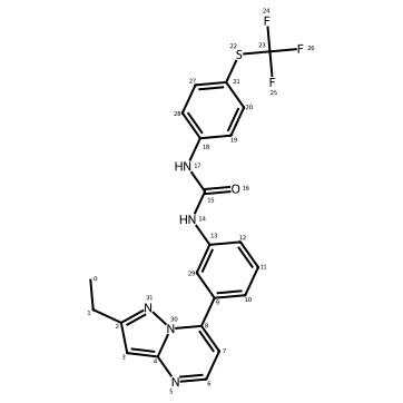 CCc1cc2nccc(-c3cccc(NC(=O)Nc4ccc(SC(F)(F)F)cc4)c3)n2n1